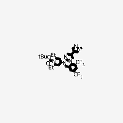 CC[C@@H]1C[C@H](N(Cc2cc(C(F)(F)F)cc(C(F)(F)F)c2)c2ncc(-c3cnn(C)c3)cn2)C[C@H](CC)N1C(=O)OC(C)(C)C